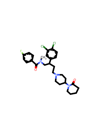 CN(CC(CCN1CCC(N2CCCCC2=O)CC1)c1ccc(Cl)c(Cl)c1)C(=O)c1ccc(F)cc1